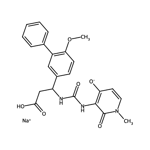 COc1ccc(C(CC(=O)O)NC(=O)Nc2c([O-])ccn(C)c2=O)cc1-c1ccccc1.[Na+]